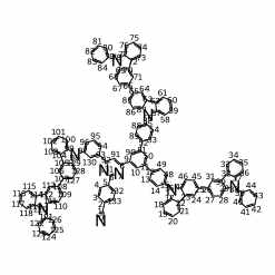 N#Cc1ccc(-c2nc(-c3cc(-c4ccc(-n5c6ccccc6c6cc(-c7ccc8c(c7)c7ccccc7n8-c7ccccc7)ccc65)cc4)cc(-c4ccc(-n5c6ccccc6c6cc(-c7ccc8c(c7)c7ccccc7n8-c7ccccc7)ccc65)cc4)c3)cc(-c3cccc(-n4c5ccccc5c5cc(-c6ccc7c(c6)c6ccccc6n7-c6ccccc6)ccc54)c3)n2)cc1